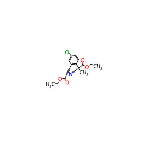 CCOC(=O)C#Cc1cc(Cl)ccc1C(C)(C#N)C(=O)OCC